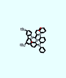 C=C/C=C\C1=C(n2c3ccc(C(C)(C)C)cc3c3cc(C(C)(C)C)ccc32)B2c3ccccc3N(c3ccccc3)c3cccc(c32)N1c1ccccc1